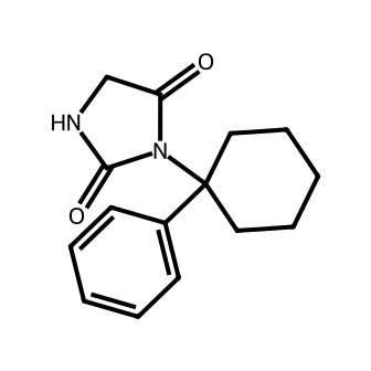 O=C1CNC(=O)N1C1(c2ccccc2)CCCCC1